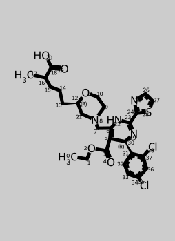 CCOC(=O)C1=C(CN2CCO[C@H](CCCC(C)C(=O)O)C2)NC(c2nccs2)=N[C@H]1c1ccc(Cl)cc1Cl